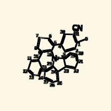 Cc1ccc(-c2cccc(-c3ccccc3)c2-n2c3ccccc3c3ccccc32)cc1C#N